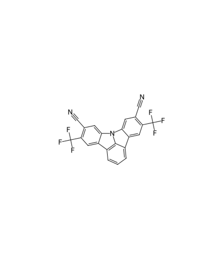 N#Cc1cc2c(cc1C(F)(F)F)c1cccc3c4cc(C(F)(F)F)c(C#N)cc4n2c13